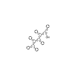 OCCOC(COc1ccccc1)COC(COc1ccccc1)COC(COc1ccccc1)COC(COc1ccccc1)COC(COc1ccccc1)CSc1ccccc1